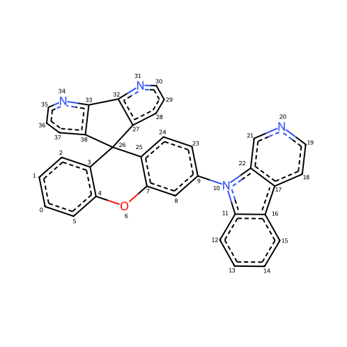 c1ccc2c(c1)Oc1cc(-n3c4ccccc4c4ccncc43)ccc1C21c2cccnc2-c2ncccc21